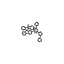 c1ccc(-c2cccc(-c3cc(-c4ccccc4)nc(-c4ccc5c(c4)C4(c6ccccc6-5)c5ccccc5-c5sc6ccccc6c54)n3)c2)cc1